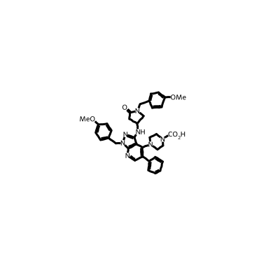 COc1ccc(CN2CC(Nc3nn(Cc4ccc(OC)cc4)c4ncc(-c5ccccc5)c(N5CCN(C(=O)O)CC5)c34)CC2=O)cc1